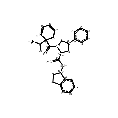 CC(N)C1(C(=O)N2C[C@@H](c3ccccc3)C[C@H]2C(=O)N[C@@H]2CCc3ccccc32)CC=CC=N1